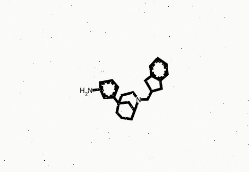 Nc1cccc(C23CCCC(C2)N(CC2Cc4ccccc4C2)CC3)c1